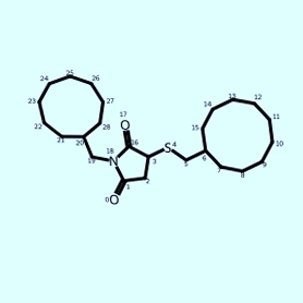 O=C1CC(SCC2CCCCCCCCC2)C(=O)N1CC1CCCCCCCC1